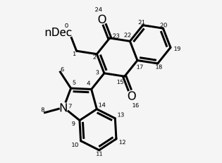 CCCCCCCCCCCC1=C(c2c(C)n(C)c3ccccc23)C(=O)c2ccccc2C1=O